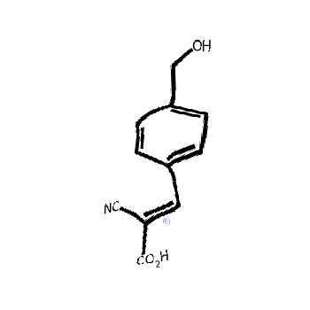 N#C/C(=C\c1ccc(CO)cc1)C(=O)O